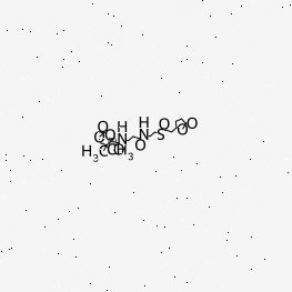 CC1(C)COC(=O)O[C@H]1C(=O)NCCC(=O)NCCSC(=O)CC1CCC(=O)O1